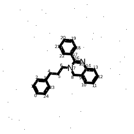 c1ccc(CCCN2Cc3ccccc3N=C2c2ccccc2)cc1